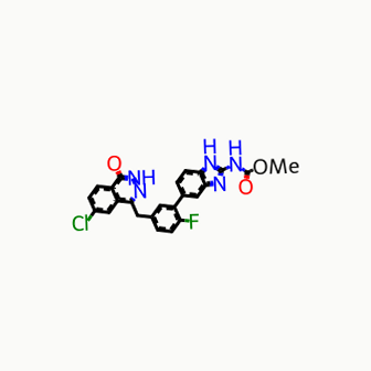 COC(=O)Nc1nc2cc(-c3cc(Cc4n[nH]c(=O)c5ccc(Cl)cc45)ccc3F)ccc2[nH]1